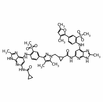 Cc1nc2c(Nc3ccc(-c4nn(CC5CC5C(=O)Nc5cc(Nc6ccc(-c7oc(C)cc7C)cc6S(C)(=O)=O)c6nc(C)[nH]c6n5)c(C)c4C)cc3S(C)(=O)=O)cc(NC(=O)C3CC3)nc2[nH]1